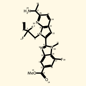 C=CC(F)(F)Cn1c(-c2nc3cc(C(=O)OC)cc(F)c3n2C)cc2ccc(C(C)N)nc21